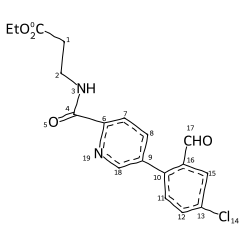 CCOC(=O)CCNC(=O)c1ccc(-c2ccc(Cl)cc2C=O)cn1